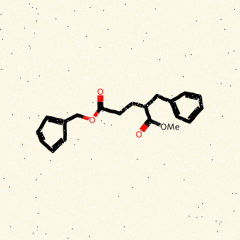 COC(=O)C(CCC(=O)OCc1ccccc1)Cc1ccccc1